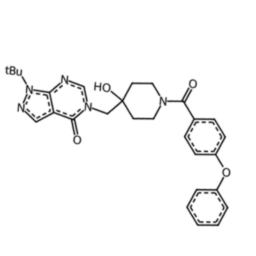 CC(C)(C)n1ncc2c(=O)n(CC3(O)CCN(C(=O)c4ccc(Oc5ccccc5)cc4)CC3)cnc21